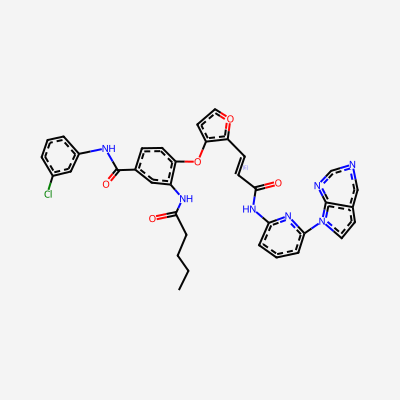 CCCCC(=O)Nc1cc(C(=O)Nc2cccc(Cl)c2)ccc1Oc1ccoc1/C=C/C(=O)Nc1cccc(-n2ccc3cncnc32)n1